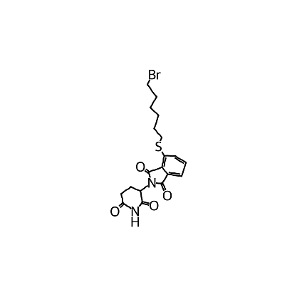 O=C1CCC(N2C(=O)c3cccc(SCCCCCCBr)c3C2=O)C(=O)N1